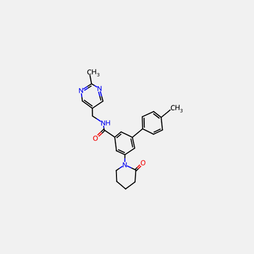 Cc1ccc(-c2cc(C(=O)NCc3cnc(C)nc3)cc(N3CCCCC3=O)c2)cc1